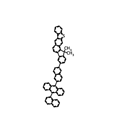 CC1(C)c2ccc(-c3ccc4cc(-c5c6ccccc6c(-c6cccc7ccccc67)c6ccccc56)ccc4c3)cc2-c2ccc3cc4c(cc3c21)sc1ccccc14